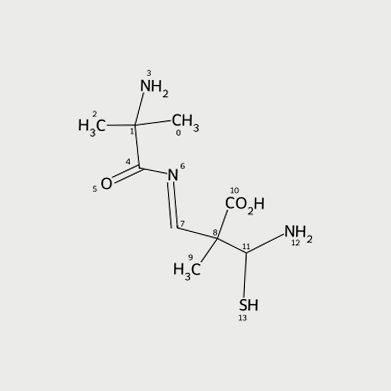 CC(C)(N)C(=O)/N=C/C(C)(C(=O)O)C(N)S